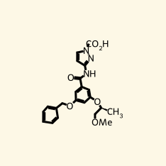 COC[C@H](C)Oc1cc(OCc2ccccc2)cc(C(=O)Nc2ccn(C(=O)O)n2)c1